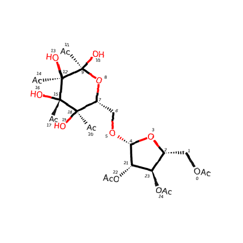 CC(=O)OC[C@H]1O[C@@H](OC[C@H]2O[C@@](O)(C(C)=O)[C@@](O)(C(C)=O)[C@](O)(C(C)=O)[C@@]2(O)C(C)=O)[C@@H](OC(C)=O)[C@@H]1OC(C)=O